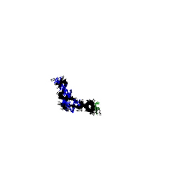 CN1CC2(CCN(c3ccc4c(n3)Cn3cc(-c5ccc(F)cc5)cc3-c3nccn3-4)C2)C1